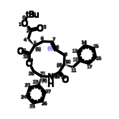 CC(C)(C)OC(=O)C[C@@H]1C/C=C/C[C@H](Cc2ccccc2)C(=O)N[C@H](c2ccccc2)COC1=O